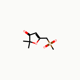 CC1(C)OC(CS(C)(=O)=O)=CC1=O